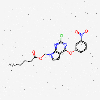 CCCCC(=O)OCn1ccc2c(Oc3cccc([N+](=O)[O-])c3)nc(Cl)nc21